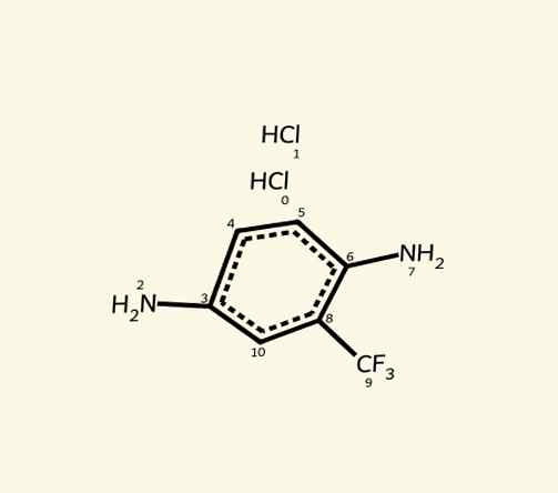 Cl.Cl.Nc1ccc(N)c(C(F)(F)F)c1